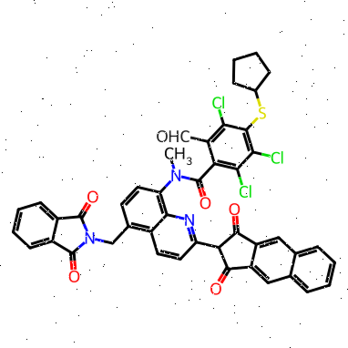 CN(C(=O)c1c(Cl)c(Cl)c(SC2CCCC2)c(Cl)c1C=O)c1ccc(CN2C(=O)c3ccccc3C2=O)c2ccc(C3C(=O)c4cc5ccccc5cc4C3=O)nc12